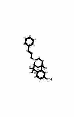 CC12CCN(CC=Cc3ccccc3)C(C1)C(C)(C)c1ccc(O)cc12